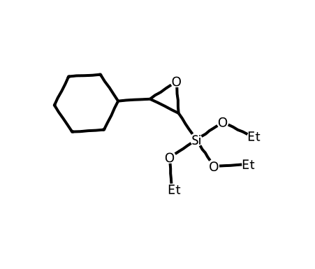 CCO[Si](OCC)(OCC)C1OC1C1CCCCC1